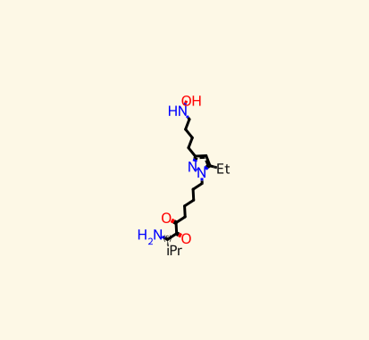 CCc1cc(CCCCNO)nn1CCCCCC(=O)C(=O)[C@@H](N)C(C)C